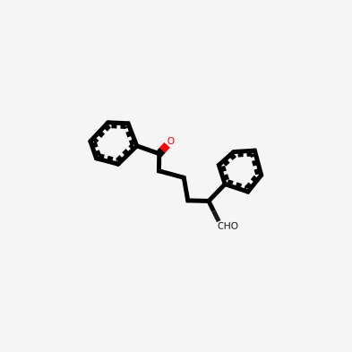 O=CC(CCCC(=O)c1ccccc1)c1ccccc1